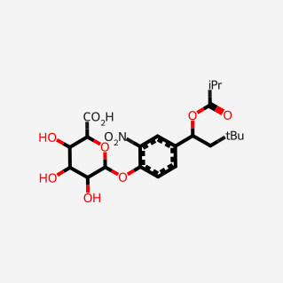 CC(C)C(=O)OC(CC(C)(C)C)c1ccc(OC2OC(C(=O)O)C(O)C(O)C2O)c([N+](=O)[O-])c1